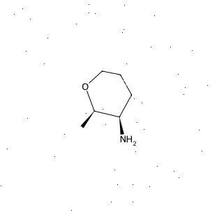 C[C@H]1OCCC[C@H]1N